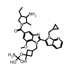 BC(O)(O)OC1(C)CC(Cn2c(-c3cc4cccnc4n3CC3CC3)nc3cc(C(=O)N4CC(CC)C(N)C4C)cc(OC)c32)C1